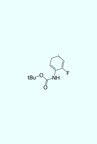 CC(C)(C)OC(=O)NC1=CC[CH]C=C1F